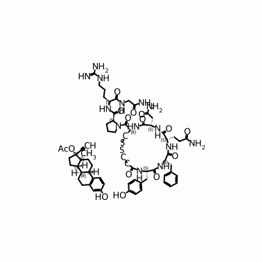 C#C[C@]1(OC(C)=O)CC[C@H]2[C@@H]3CCc4cc(O)ccc4[C@H]3CC[C@@]21C.N=C(N)NCCC[C@H](NC(=O)[C@@H]1CCCN1C(=O)[C@@H]1CSSCCC(=O)N[C@@H](Cc2ccc(O)cc2)C(=O)N[C@@H](Cc2ccccc2)C(=O)N[C@@H](CCC(N)=O)C(=O)N[C@@H](CC(N)=O)C(=O)N1)C(=O)NCC(N)=O